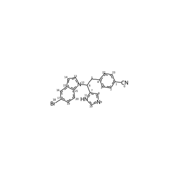 N#Cc1ccc(CC(c2cnc[nH]2)n2ccc3cc(Br)ccc32)cc1